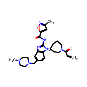 C=CC(=O)N1CCC[C@@H](n2c(NC(=O)c3cc(C)no3)nc3cc(CN4CCN(C)CC4)ccc32)CC1